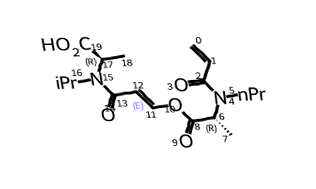 C=CC(=O)N(CCC)[C@H](C)C(=O)O/C=C/C(=O)N(C(C)C)[C@H](C)C(=O)O